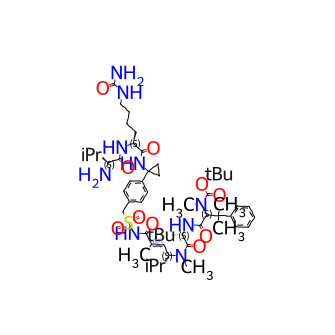 C/C(=C\[C@H](C(C)C)N(C)C(=O)[C@@H](NC(=O)[C@@H](N(C)C(=O)OC(C)(C)C)C(C)(C)c1ccccc1)C(C)(C)C)C(=O)NS(=O)(=O)Cc1ccc(C2(NC(=O)[C@H](CCCCNC(N)=O)NC(=O)[C@@H](N)C(C)C)CC2)cc1